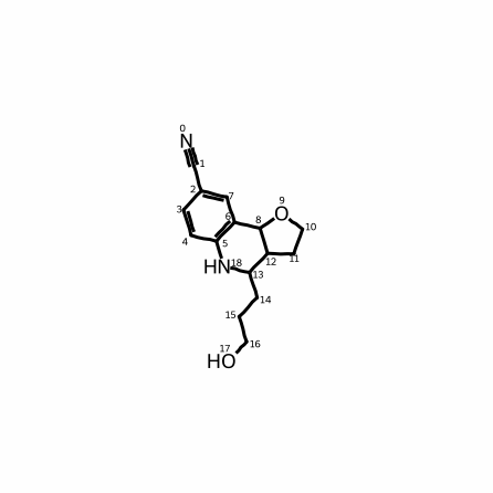 N#Cc1ccc2c(c1)C1OCCC1C(CCCO)N2